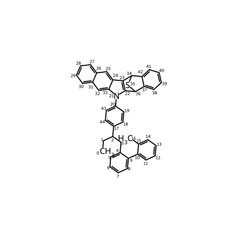 CCC(Cc1ccccc1-c1ccccc1C)c1ccc(-n2c3c(c4cc5ccccc5cc42)C2SC3c3ccccc32)cc1